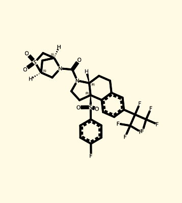 O=C(N1C[C@@H]2C[C@H]1CS2(=O)=O)N1CC[C@@]2(S(=O)(=O)c3ccc(F)cc3)c3ccc(C(F)(C(F)(F)F)C(F)(F)F)cc3CC[C@@H]12